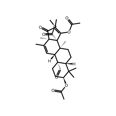 COC(=O)[C@@]12C(OC(C)=O)=C(C)C(=O)[C@]1(C)C(C)=C[C@H]1[C@]3(C=O)CC[C@H](OC(C)=O)C(C)(C)[C@H]3CC[C@@]12C